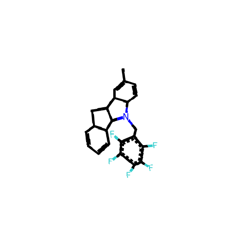 CC1=CC2C3CC4C=CC=CC4C3N(Cc3c(F)c(F)c(F)c(F)c3F)C2C=C1